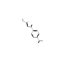 C/C(=N\O)c1ccc(-c2cc(CCl)on2)cc1